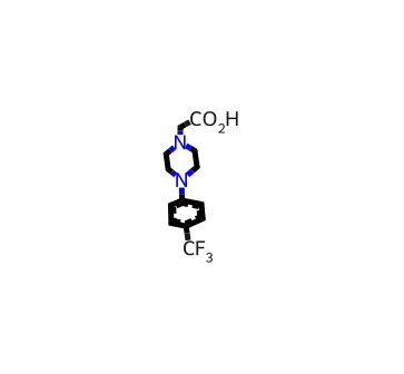 O=C(O)CN1CCN(c2ccc(C(F)(F)F)cc2)CC1